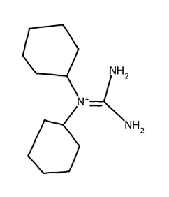 NC(N)=[N+](C1CCCCC1)C1CCCCC1